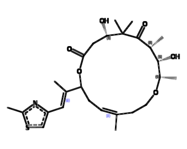 C/C1=C/CC(/C(C)=C/c2csc(C)n2)OC(=O)C[C@H](O)C(C)(C)C(=O)[C@H](C)[C@H](O)[C@H](C)OCC1